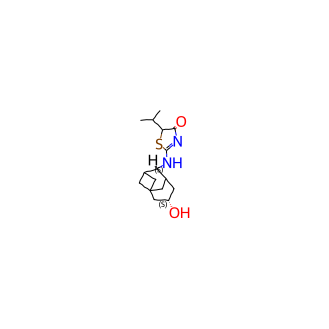 CC(C)C1SC(N[C@@H]2C3C[C@H](O)CC4(C3)CC2C4)=NC1=O